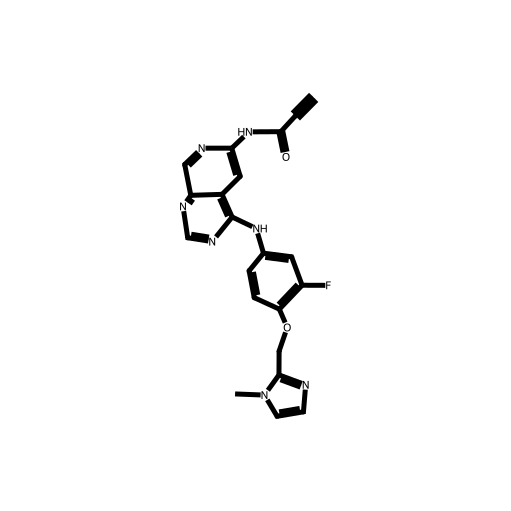 C#CC(=O)Nc1cc2c(Nc3ccc(OCc4nccn4C)c(F)c3)ncnc2cn1